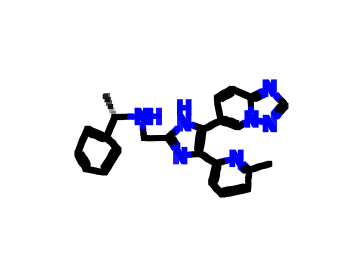 Cc1cccc(-c2nc(CN[C@@H](C)c3ccccc3)[nH]c2-c2ccc3ncnn3c2)n1